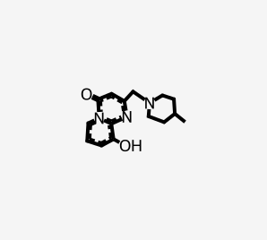 CC1CCN(Cc2cc(=O)n3cccc(O)c3n2)CC1